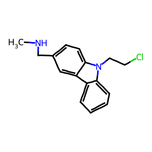 CNCc1ccc2c(c1)c1ccccc1n2CCCl